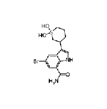 NC(=O)c1cc(Br)cc2c(C3CCCS(O)(O)C3)c[nH]c12